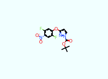 CC(C)(C)OC(=O)n1ccc(Oc2cc(F)c([N+](=O)[O-])cc2F)n1